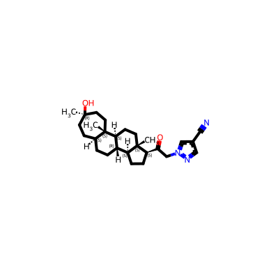 C[C@@]1(O)CC[C@@H]2CC[C@@H]3[C@H](CC[C@]4(C)[C@@H](C(=O)Cn5cc(C#N)cn5)CC[C@@H]34)[C@@]2(C)CC1